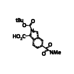 CNS(=O)(=O)c1ccc2c(C(=O)O)n(C(=O)OC(C)(C)C)cc2c1